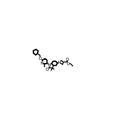 CCOC(=O)C1CN(c2ccc3c(c2)C(C)(C)C(=O)N3c2ccc(OCc3ccccc3)nc2C)C1